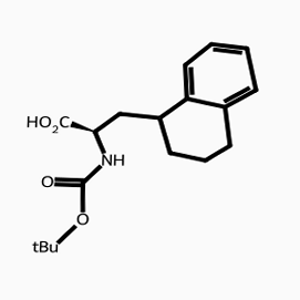 CC(C)(C)OC(=O)N[C@H](CC1CCCc2ccccc21)C(=O)O